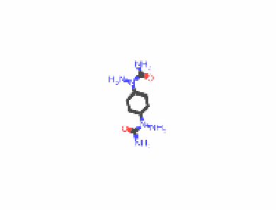 NC(=O)N(N)C1[CH]CC(N(N)C(N)=O)CC1